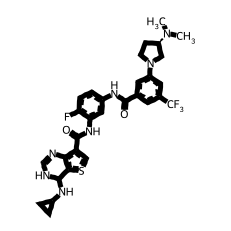 CN(C)[C@H]1CCN(c2cc(C(=O)Nc3ccc(F)c(NC(=O)c4csc5c4N=CNC5NC4CC4)c3)cc(C(F)(F)F)c2)C1